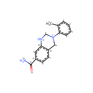 Cc1ccccc1N1CNc2cc(C(N)=O)ccc2C1